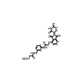 CC(C)(C)OCC(=O)NCc1cccc(NC(=O)COc2cccc3c2C(=O)N(C2CCC(=O)NC2=O)C3=O)c1